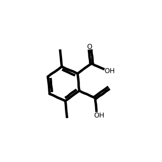 C=C(O)c1c(C)ccc(C)c1C(=O)O